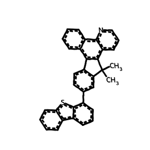 CC1(C)c2cc(-c3cccc4c3sc3ccccc34)ccc2-c2c1c1cccnc1c1ccccc21